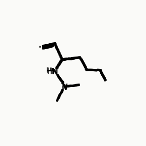 [CH]=CC(CCCC)NN(C)C